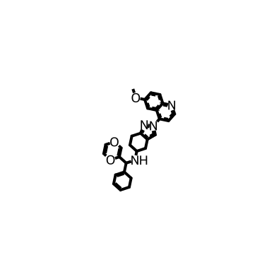 COc1ccc2nccc(-n3cc4c(n3)CCC(NC(C3=CC=CCC3)C3=COC=CO3)C4)c2c1